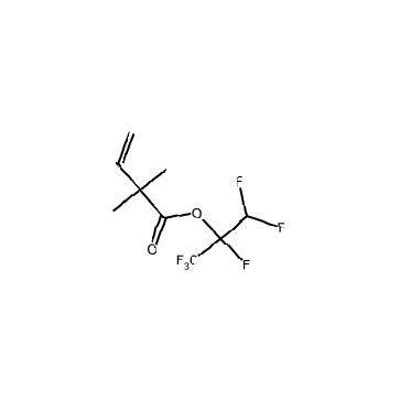 C=CC(C)(C)C(=O)OC(F)(C(F)F)C(F)(F)F